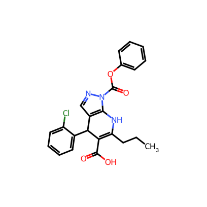 CCCC1=C(C(=O)O)C(c2ccccc2Cl)c2cnn(C(=O)Oc3ccccc3)c2N1